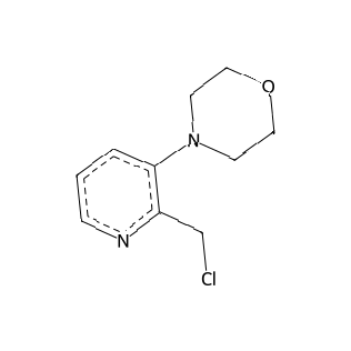 ClCc1ncccc1N1CCOCC1